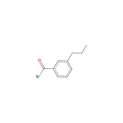 CCCc1cccc(C(=O)Br)c1